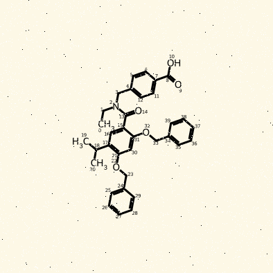 CCN(Cc1ccc(C(=O)O)cc1)C(=O)c1cc(C(C)C)c(OCc2ccccc2)cc1OCc1ccccc1